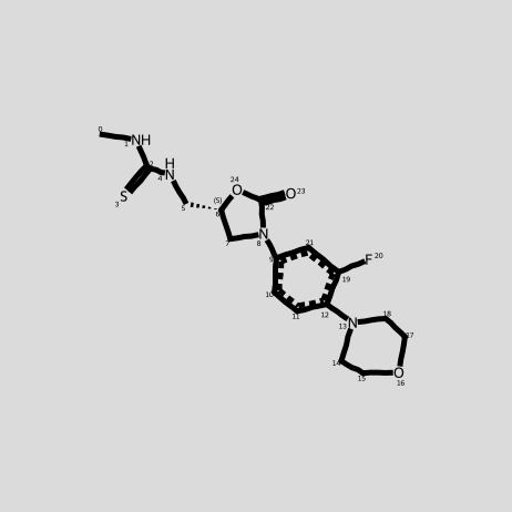 CNC(=S)NC[C@H]1CN(c2ccc(N3CCOCC3)c(F)c2)C(=O)O1